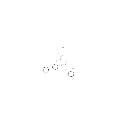 CCOc1ncccc1-c1ccc2c(n1)CN(C(=O)CCN)C[C@]21CCN(c2nccc(OC)c2C(F)(F)F)C[C@H]1CC.O=CO